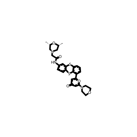 C[C@@H]1CN(CC(=O)Nc2ccc3c(c2)Sc2cccc(-c4cc(=O)cc(N5CCOCC5)o4)c2S3)C[C@H](C)O1